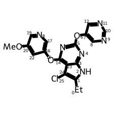 CCc1[nH]c2nc(Oc3cncnc3)nc(Oc3cncc(OC)c3)c2c1Cl